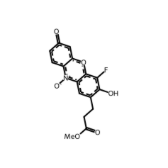 COC(=O)CCc1cc2c(oc3cc(=O)ccc-3[n+]2[O-])c(F)c1O